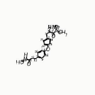 CN[C@H](Cc1ccc(Oc2ccc(CCC(=O)NO)cc2)cc1)C(=O)N(C)C